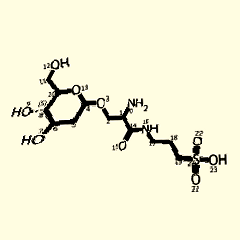 NC(COC1CC(O)[C@H](O)C(CO)O1)C(=O)NCCCS(=O)(=O)O